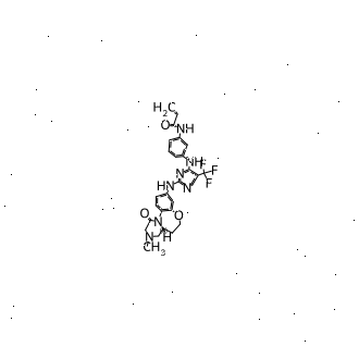 C=CC(=O)Nc1cccc(Nc2nc(Nc3ccc4c(c3)OCC[C@@H]3CN(C)CC(=O)N43)ncc2C(F)(F)F)c1